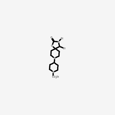 CCOC(=O)N1CCC(N2CCC3(CC2)OC(=O)N(CC)C3CC)CC1